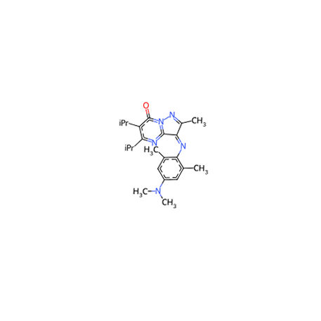 CC1=Nn2c(nc(C(C)C)c(C(C)C)c2=O)C1=Nc1c(C)cc(N(C)C)cc1C